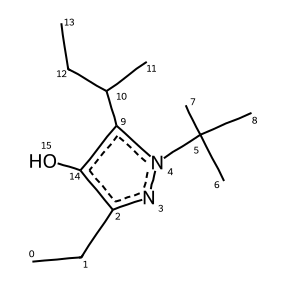 CCc1nn(C(C)(C)C)c(C(C)CC)c1O